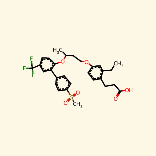 CCc1cc(OCCC(C)Oc2ccc(C(F)(F)F)cc2-c2ccc(S(C)(=O)=O)cc2)ccc1CCC(=O)O